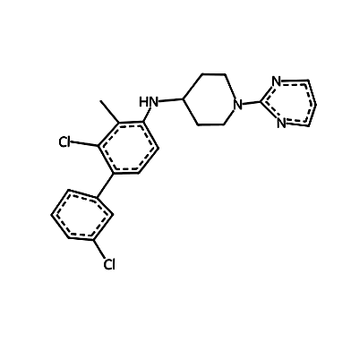 Cc1c(NC2CCN(c3ncccn3)CC2)ccc(-c2cccc(Cl)c2)c1Cl